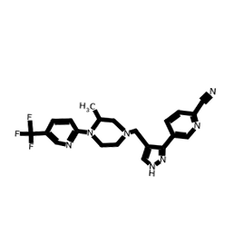 CC1CN(Cc2c[nH]nc2-c2ccc(C#N)nc2)CCN1c1ccc(C(F)(F)F)cn1